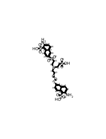 Nc1ccc2cc(SOOCCN(CCS(=O)(=O)O)CCS(=O)(=O)c3ccc4c(S(=O)(=O)O)c(N)ccc4c3)ccc2c1S(=O)(=O)O